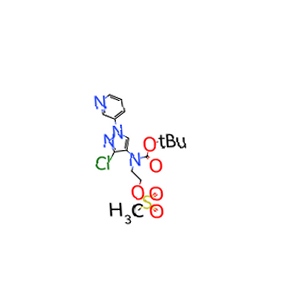 CC(C)(C)OC(=O)N(CCOS(C)(=O)=O)c1cn(-c2cccnc2)nc1Cl